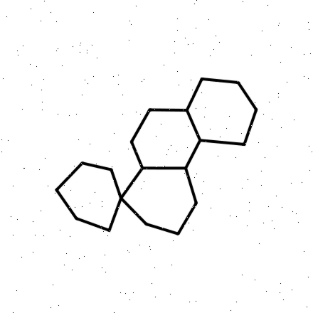 C1CCC2(CC1)CCCC1C3CCCCC3CCC12